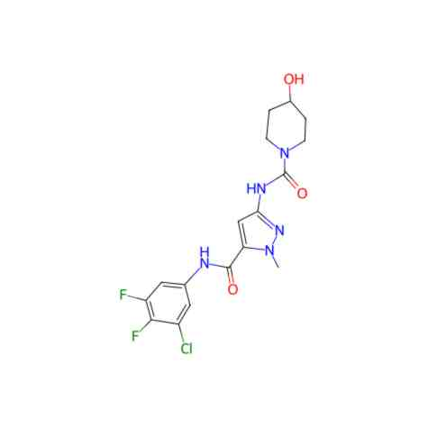 Cn1nc(NC(=O)N2CCC(O)CC2)cc1C(=O)Nc1cc(F)c(F)c(Cl)c1